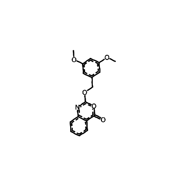 COc1cc(COc2nc3ccccc3c(=O)o2)cc(OC)c1